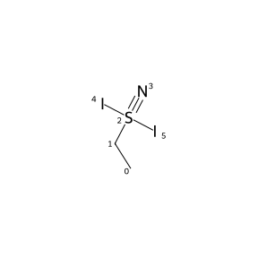 CCS(#N)(I)I